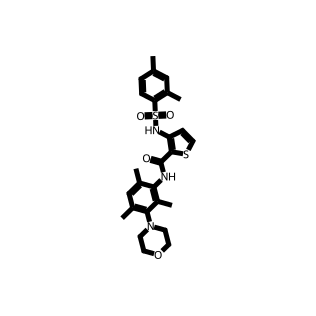 Cc1ccc(S(=O)(=O)Nc2ccsc2C(=O)Nc2c(C)cc(C)c(N3CCOCC3)c2C)c(C)c1